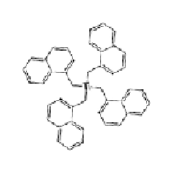 c1ccc2c([CH2][Ti]([CH2]c3cccc4ccccc34)([CH2]c3cccc4ccccc34)[CH2]c3cccc4ccccc34)cccc2c1